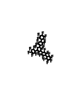 FC1=C(F)C(F)C(F)C(C2=C(F)C(c3c(F)c(F)c(-c4c(F)c(F)c(F)c(F)c4F)c(F)c3F)=C(F)C(c3c(F)c(F)c(-c4c(F)c(F)c(F)c(F)c4F)c(F)c3F)C2F)=C1F